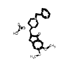 COc1cc2c(cc1OC)C(=O)C(CC1CCN(Cc3ccccc3)CC1)C2.O=[N+]([O-])O